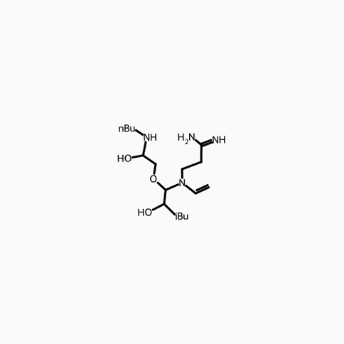 C=CN(CCC(=N)N)C(OCC(O)NCCCC)C(O)C(C)CC